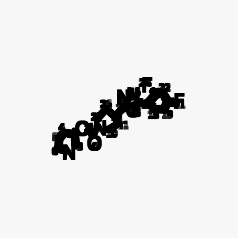 O=C(Oc1cccnc1)N1CCC(c2nnc(-c3ccc(F)cc3F)o2)CC1